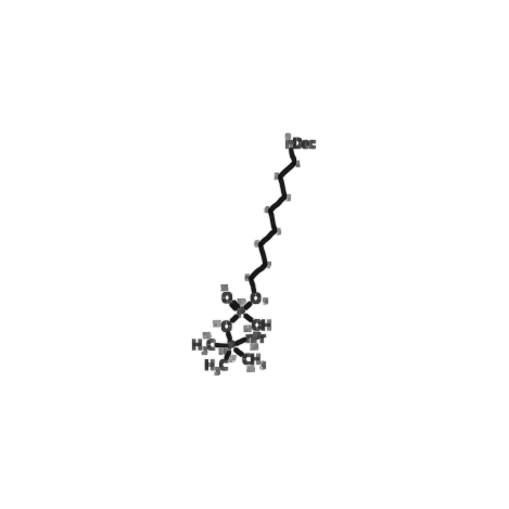 CCCCCCCCCCCCCCCCCCOP(=O)(O)OP(C)(C)(C)CCC